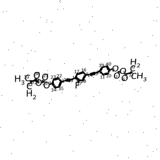 C=C(C)C(=O)OC(=O)Oc1ccc(C#Cc2ccc(C#Cc3ccc(OC(=O)OC(=O)C(=C)C)cc3)c(F)c2)cc1